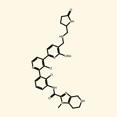 COc1nc(-c2ccnc(-c3cccc(NC(=O)c4nc5c(n4C)CCNC5)c3Cl)c2Cl)ccc1CNCC1CCC(=O)N1